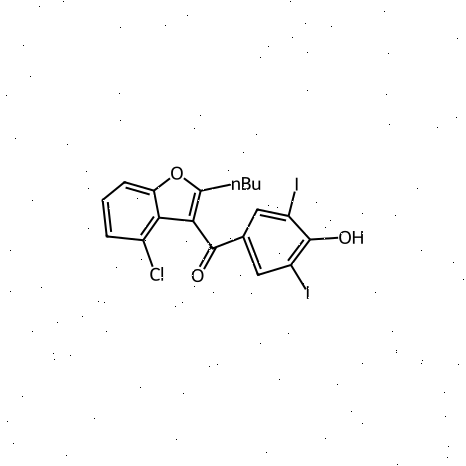 CCCCc1oc2cccc(Cl)c2c1C(=O)c1cc(I)c(O)c(I)c1